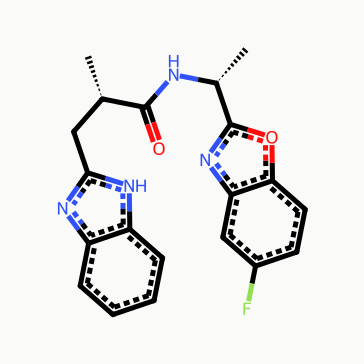 C[C@@H](Cc1nc2ccccc2[nH]1)C(=O)N[C@H](C)c1nc2cc(F)ccc2o1